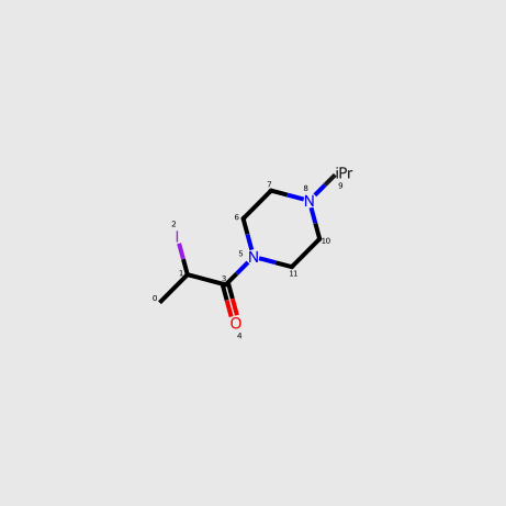 CC(I)C(=O)N1CCN(C(C)C)CC1